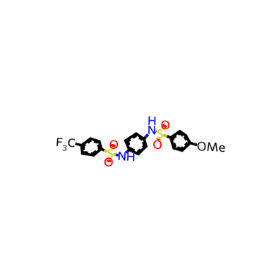 COc1ccc(S(=O)(=O)Nc2ccc(NS(=O)(=O)c3ccc(C(F)(F)F)cc3)cc2)cc1